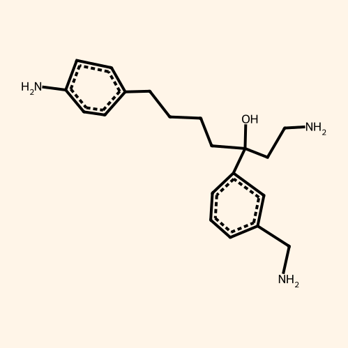 NCCC(O)(CCCCc1ccc(N)cc1)c1cccc(CN)c1